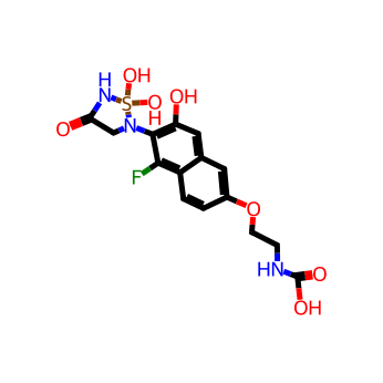 O=C(O)NCCOc1ccc2c(F)c(N3CC(=O)NS3(O)O)c(O)cc2c1